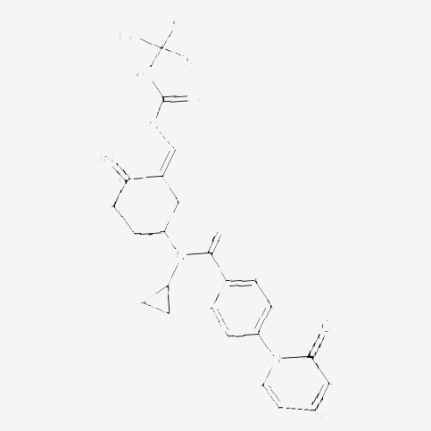 CC(C)(C)OC(=O)N/C=C1/CC(N(C(=O)c2ccc(-n3ccccc3=O)cc2)C2CC2)CCC1=N